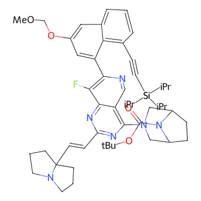 COCOc1cc(-c2ncc3c(N4CC5CCC(C4)N5C(=O)OC(C)(C)C)nc(/C=C/C45CCCN4CCC5)nc3c2F)c2c(C#C[Si](C(C)C)(C(C)C)C(C)C)cccc2c1